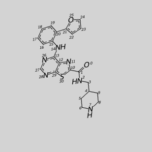 O=C(NCC1CCNCC1)c1nc2c(Nc3ccccc3-c3ccco3)ncnc2s1